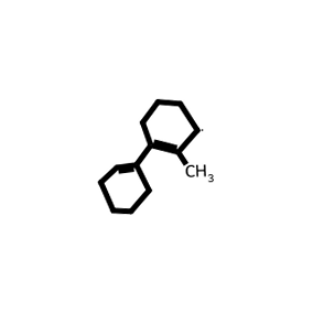 CC1=C(C2=CCCCC2)CCC[CH]1